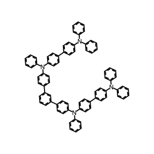 c1ccc(N(c2ccccc2)c2ccc(-c3ccc(N(c4ccccc4)c4ccc(-c5cccc(-c6ccc(N(c7ccccc7)c7ccc(-c8ccc(N(c9ccccc9)c9ccccc9)cc8)cc7)cc6)c5)cc4)cc3)cc2)cc1